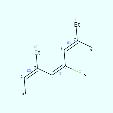 C\C=C(/C=C(F)\C=C(/C)CC)CC